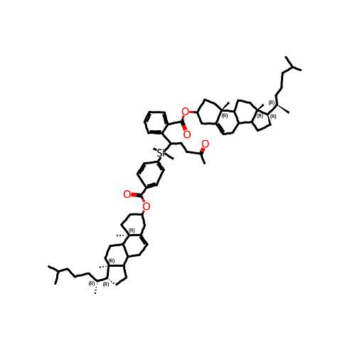 CC(=O)CCC(c1ccccc1C(=O)OC1CC[C@@]2(C)C(=CCC3C2CC[C@@]2(C)C3CC[C@@H]2[C@H](C)CCCC(C)C)C1)[Si](C)(C)c1ccc(C(=O)OC2CC[C@@]3(C)C(=CCC4C3CC[C@@]3(C)C4CC[C@@H]3[C@H](C)CCCC(C)C)C2)cc1